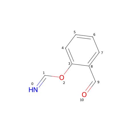 N=COc1ccccc1C=O